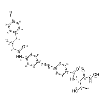 C[C@@H](O)[C@H](NC(=O)c1ccc(C#Cc2ccc(NC(=O)CN(C)Cc3ccc(F)cc3)cc2)cc1)C(=O)NO